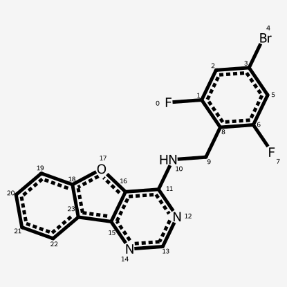 Fc1cc(Br)cc(F)c1CNc1ncnc2c1oc1ccccc12